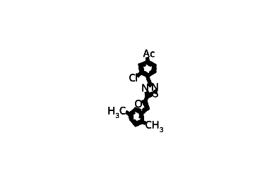 CC(=O)c1ccc(-c2nsc(-c3cc4c(C)ccc(C)c4o3)n2)c(Cl)c1